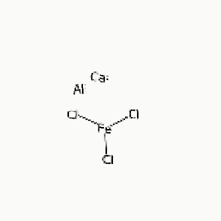 [Al].[Ca].[Cl][Fe]([Cl])[Cl]